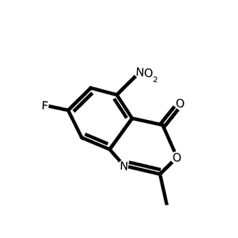 Cc1nc2cc(F)cc([N+](=O)[O-])c2c(=O)o1